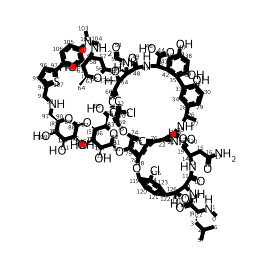 CN[C@H](CC(C)C)C(=O)NC1C(=O)NC(CC(N)=O)C(=O)N[C@H]2C(=O)NC(C)c3ccc(O)c(c3)-c3c(O)cc(O)cc3C(C(=O)O)NC(=O)[C@@H](NC=O)[C@H](OC3C[C@](C)(N)[C@@H](O)[C@H](C)O3)c3ccc(c(Cl)c3)Oc3cc2cc(c3O[C@@H]2O[C@H](CO)[C@@H](O[C@@H]3O[C@H](CNCc4ccc(-c5ccc(N(C)C)cc5)s4)[C@H](O)[C@H](O)[C@H]3O)[C@H](O)[C@H]2O)Oc2ccc(cc2Cl)[C@H]1O